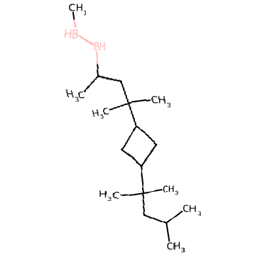 CBBC(C)CC(C)(C)C1CC(C(C)(C)CC(C)C)C1